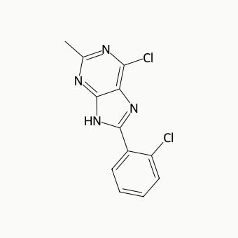 Cc1nc(Cl)c2nc(-c3ccccc3Cl)[nH]c2n1